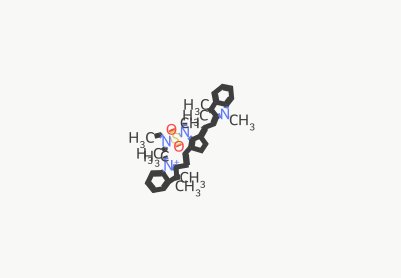 CCN(CC)S(=O)(=O)N(C)C1=C(/C=C/C2=[N+](C)c3ccccc3C2(C)C)CC/C1=C\C=C1\N(C)c2ccccc2C1(C)C